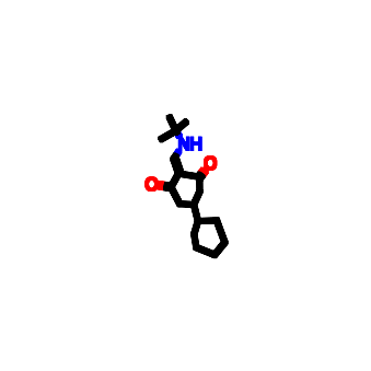 CC(C)(C)NC=C1C(=O)CC(C2CCCCC2)CC1=O